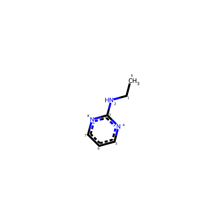 CCNc1nc[c]cn1